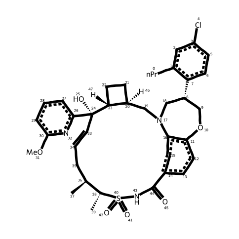 CCCc1cc(Cl)ccc1[C@@H]1COc2ccc3cc2N(C1)C[C@@H]1CC[C@H]1[C@](O)(c1cccc(OC)n1)/C=C/C[C@H](C)[C@@H](C)S(=O)(=O)NC3=O